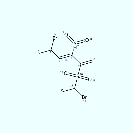 C=C(/C(=C/C(C)Br)[SH](=O)=O)S(=O)(=O)C(C)Br